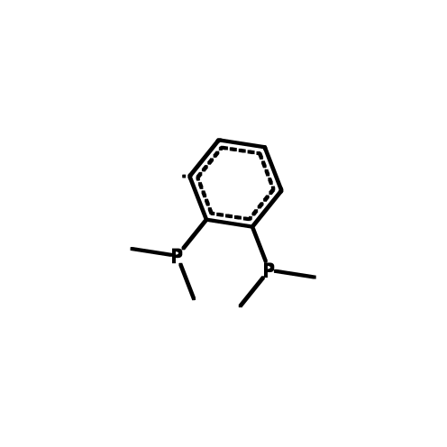 CP(C)c1[c]cccc1P(C)C